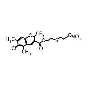 Cc1cc2c(c(C)c1Cl)C=C(C(=O)OCCSCCO[N+](=O)[O-])C(C(F)(F)F)O2